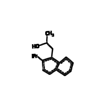 CC(O)Cc1c(C(C)C)ccc2ccccc12